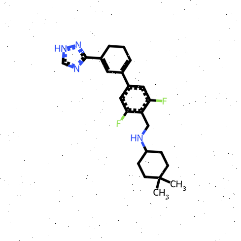 CC1(C)CCC(NCc2c(F)cc(C3=CCCC(c4nc[nH]n4)=C3)cc2F)CC1